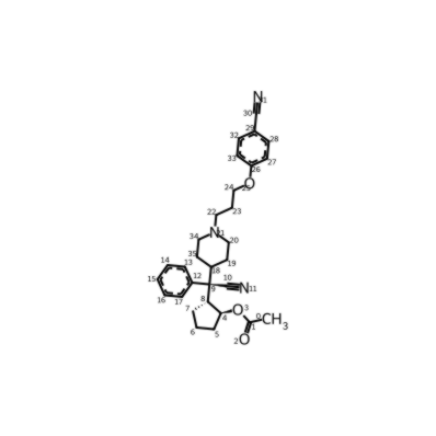 CC(=O)O[C@H]1CCC[C@@H]1[C@](C#N)(c1ccccc1)C1CCN(CCCOc2ccc(C#N)cc2)CC1